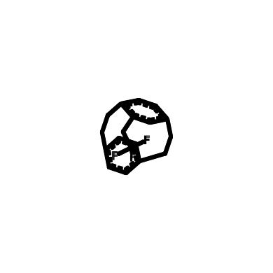 FC(F)(F)Cc1cc2ccc1CCc1ccc(cc1)CC2